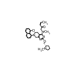 C/C=C\C(=O)CN(C)c1nc(OC[C@@H]2CCCN2C)nc2c1CCN(c1cccc3cccc(Cl)c13)C2